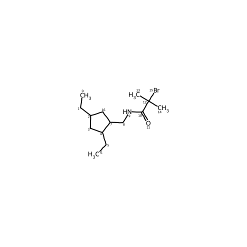 CCC1CC(CC)C(CNC(=O)C(C)(C)Br)C1